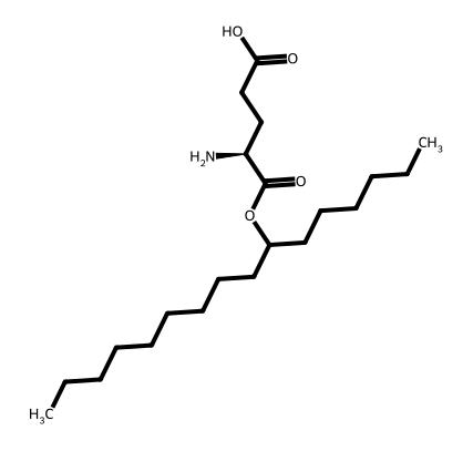 CCCCCCCCCC(CCCCCC)OC(=O)[C@@H](N)CCC(=O)O